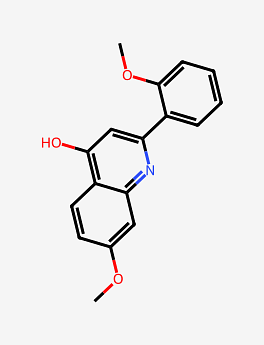 COc1ccc2c(O)cc(-c3ccccc3OC)nc2c1